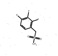 CS(=O)(=O)Cc1ccc(F)c(F)c1F